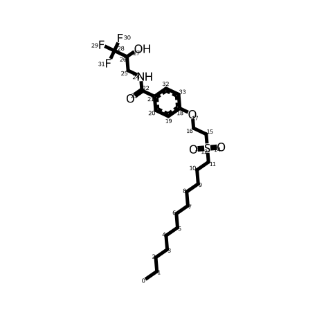 CCCCCCCCCCCCS(=O)(=O)CCOc1ccc(C(=O)NCC(O)C(F)(F)F)cc1